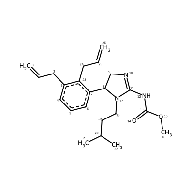 C=CCc1cccc(C2CN=C(NC(=O)OC)N2CCC(C)C)c1CC=C